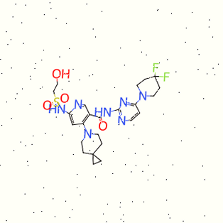 O=C(Nc1nccc(N2CCC(F)(F)CC2)n1)c1cnc(NS(=O)(=O)CCO)cc1N1CCC2(CC1)CC2